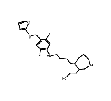 OCCC1CNCCCN1CCCCNc1cc(F)c(SNc2nccs2)cc1Cl